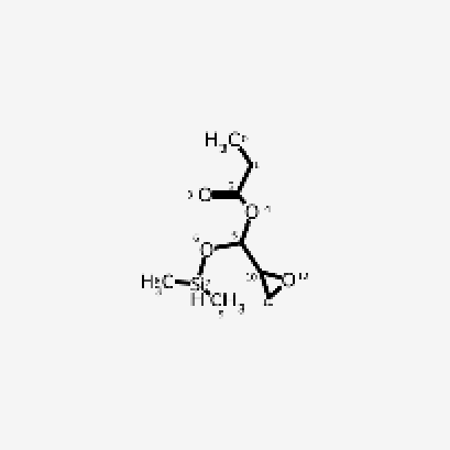 CCC(=O)OC(O[SiH](C)C)C1CO1